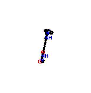 C=C(CCCCCCCCCCCOCCNC(=C)CCN1C(=C)CCC1=O)NCCC(=C)N1Cc2ccccc2/C=C\c2ccccc21